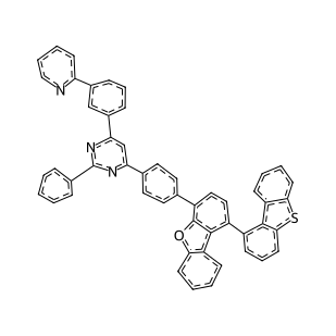 c1ccc(-c2nc(-c3ccc(-c4ccc(-c5cccc6sc7ccccc7c56)c5c4oc4ccccc45)cc3)cc(-c3cccc(-c4ccccn4)c3)n2)cc1